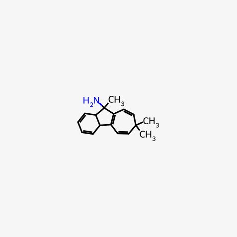 CC1(C)C=CC2=C(C=C1)C(C)(N)C1C=CC=CC21